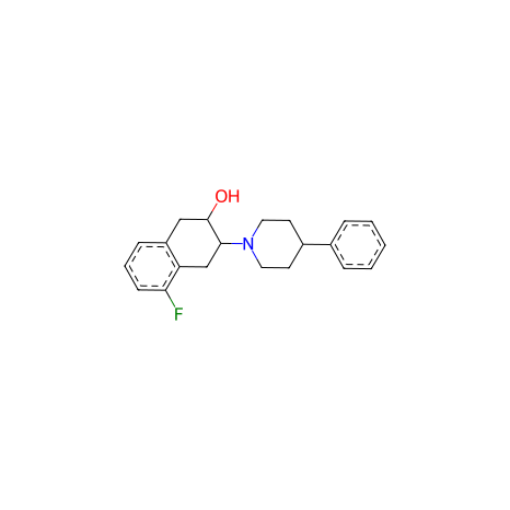 OC1Cc2cccc(F)c2CC1N1CCC(c2ccccc2)CC1